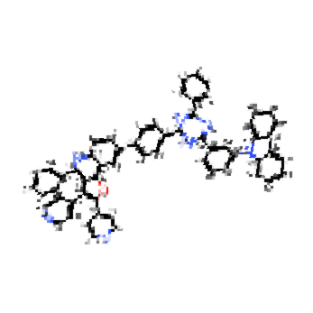 c1ccc(-c2nc(-c3ccc(-c4ccc5nc(-c6ccccc6)c6c(-c7ccncc7)c(-c7ccncc7)oc6c5c4)cc3)nc(-c3cccc(-n4c5ccccc5c5ccccc54)c3)n2)cc1